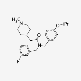 CC(C)Oc1ccc(CN(Cc2cccc(F)c2)C(=O)CC2CCN(C)CC2)cc1